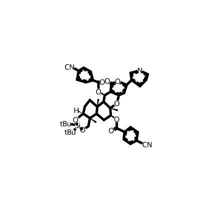 [C-]#[N+]c1ccc(C(=O)O[C@H]2c3c(cc(-c4cccnc4)oc3=O)O[C@@]3(C)C2[C@@]2(C)CC[C@@H]4O[Si](C(C)(C)C)(C(C)(C)C)OC[C@@]4(C)C2C[C@@H]3OC(=O)c2ccc(C#N)cc2)cc1